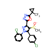 C[S+]([O-])c1c(-c2nnc(C3(C(F)(F)F)CC3)o2)nn(-c2ccccc2Cl)c1C1C=CC(Cl)=CC1